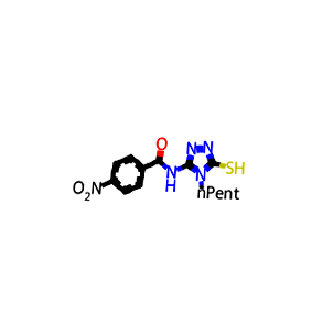 CCCCCn1c(S)nnc1NC(=O)c1ccc([N+](=O)[O-])cc1